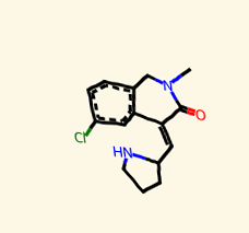 CN1Cc2ccc(Cl)cc2/C(=C\C2CCCN2)C1=O